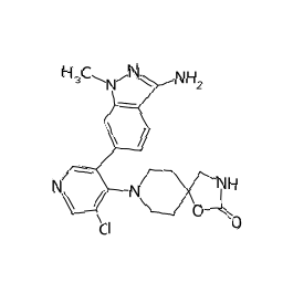 Cn1nc(N)c2ccc(-c3cncc(Cl)c3N3CCC4(CC3)CNC(=O)O4)cc21